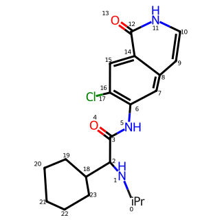 CC(C)NC(C(=O)Nc1cc2cc[nH]c(=O)c2cc1Cl)C1CCCCC1